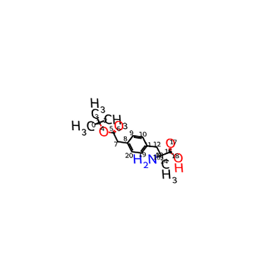 CC(C)(C)OC(=O)Cc1ccc(C[C@](C)(N)C(=O)O)cc1